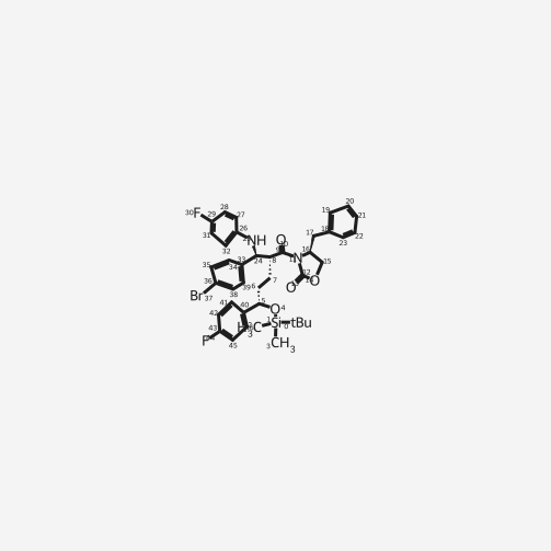 CC(C)(C)[Si](C)(C)O[C@@H](CC[C@@H](C(=O)N1C(=O)OC[C@@H]1Cc1ccccc1)[C@H](Nc1ccc(F)cc1)c1ccc(Br)cc1)c1ccc(F)cc1